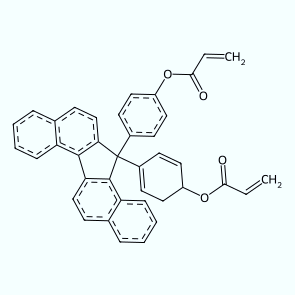 C=CC(=O)Oc1ccc(C2(C3=CCC(OC(=O)C=C)C=C3)c3ccc4ccccc4c3-c3ccc4ccccc4c32)cc1